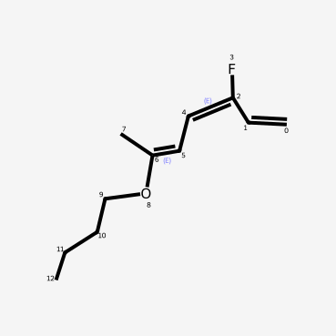 C=C/C(F)=C\C=C(/C)OCCCC